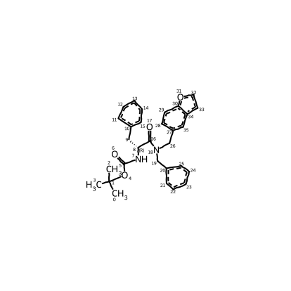 CC(C)(C)OC(=O)N[C@H](Cc1ccccc1)C(=O)N(Cc1ccccc1)Cc1ccc2occc2c1